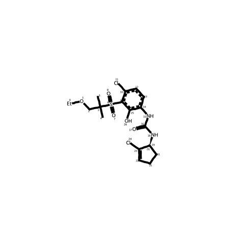 CCOCC(C)(C)S(=O)(=O)c1c(Cl)ccc(NC(=O)N[C@H]2CCC=C2Cl)c1O